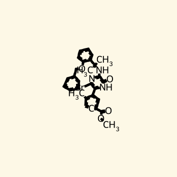 COC(=O)c1ccc(C)c(-c2[nH]c(=O)c(NC(C)(C)c3ccccc3OCc3ccccc3)nc2Br)c1